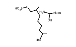 CCC(C)C(C)CCCCC(C)COS(=O)(=O)O.CCCCCCCCCC(N)O